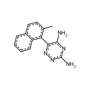 Cc1ccc2ccccc2c1-c1nnc(N)nc1N